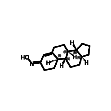 ON=C1C=C2CC[C@H]3[C@@H]4CCC[C@H]4CC[C@@H]3[C@H]2CC1